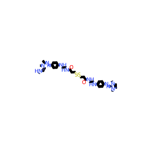 CN/C=C\N(C)C(C)/N=N/c1ccc(NCCNC(=O)CCSSCCC(=O)NCCNc2ccc(/N=N/c3n(C)cc[n+]3C)cc2)cc1